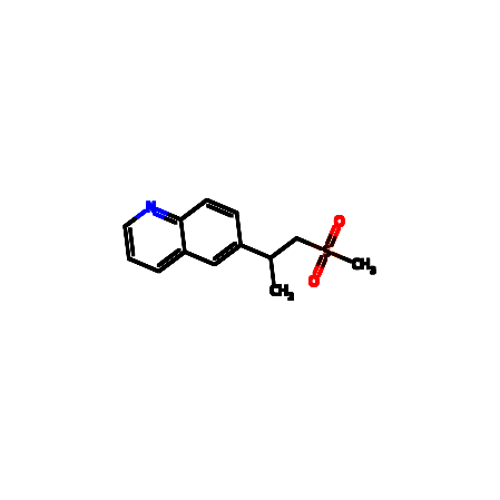 CC(CS(C)(=O)=O)c1ccc2ncccc2c1